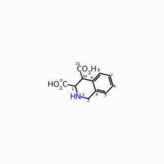 O=C(O)C1NCc2ccccc2C1C(=O)O